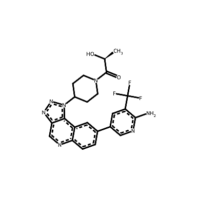 C[C@H](O)C(=O)N1CCC(n2nnc3cnc4ccc(-c5cnc(N)c(C(F)(F)F)c5)cc4c32)CC1